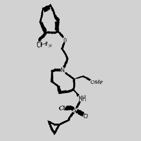 COC[C@H]1[C@@H](NS(=O)(=O)CC2CC2)CCCN1CCOc1ccccc1C